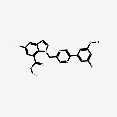 COC(=O)c1cc(O)cc2cnn(Cc3cnc(-c4cc(F)cc(OC)c4)cn3)c12